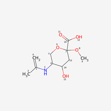 C=C(C)NC1COC(OC)(C(=O)O)CC1O